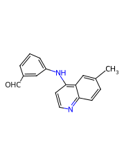 Cc1ccc2nccc(Nc3cccc(C=O)c3)c2c1